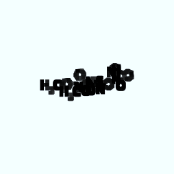 Cc1ccc(CN(C)C(=O)[C@@H](NC(=O)c2nc3ccc(NC(=O)c4ccccc4-c4cccnc4)cc3s2)c2ccccc2)cc1